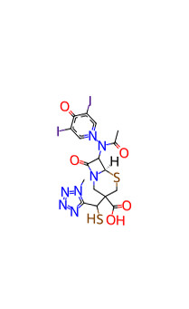 CC(=O)N(C1C(=O)N2CC(C(=O)O)(C(S)c3nnnn3C)CS[C@H]12)n1cc(I)c(=O)c(I)c1